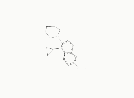 CCOC(=O)c1ccc2c(C3CC3)c(N3CCCCC3)ccc2c1